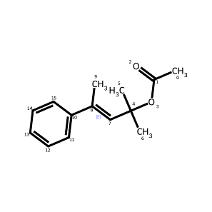 CC(=O)OC(C)(C)/C=C(\C)c1ccccc1